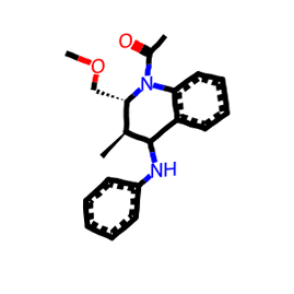 COC[C@H]1[C@H](C)C(Nc2ccccc2)c2ccccc2N1C(C)=O